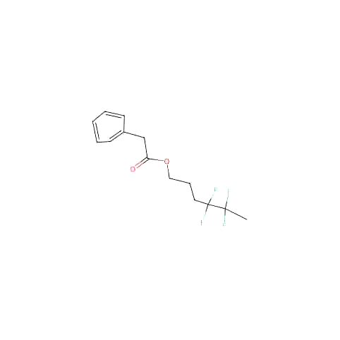 CC(F)(F)C(F)(F)CCCOC(=O)Cc1ccccc1